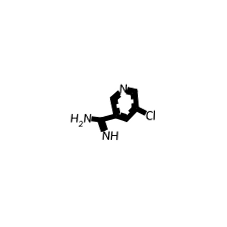 N=C(N)c1cncc(Cl)c1